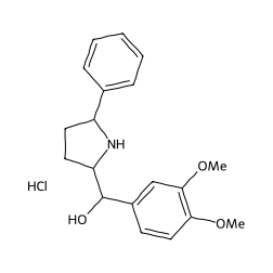 COc1ccc(C(O)C2CCC(c3ccccc3)N2)cc1OC.Cl